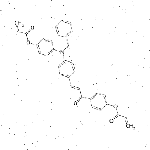 C=CC(=O)Oc1ccc(C(=O)C=Cc2ccc(N(Cc3ccccc3)c3ccc(OC(=O)C=C)cc3)cc2)cc1